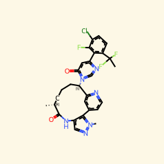 C[C@@H]1CCC[C@H](n2cnc(-c3c(C(C)(F)F)ccc(Cl)c3F)cc2=O)c2cc(ccn2)-c2c(cnn2C)NC1=O